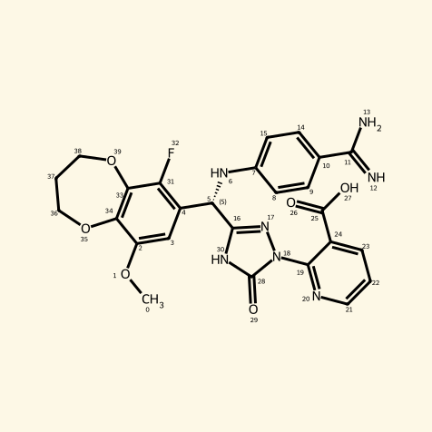 COc1cc([C@H](Nc2ccc(C(=N)N)cc2)c2nn(-c3ncccc3C(=O)O)c(=O)[nH]2)c(F)c2c1OCCCO2